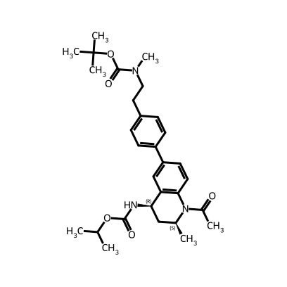 CC(=O)N1c2ccc(-c3ccc(CCN(C)C(=O)OC(C)(C)C)cc3)cc2[C@H](NC(=O)OC(C)C)C[C@@H]1C